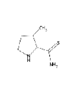 CC1CCNC1C(N)=S